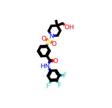 CC1(CO)CCN(S(=O)(=O)c2cccc(C(=O)Nc3cc(F)c(F)c(F)c3)c2)CC1